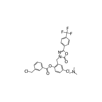 CN(C)C.O=C(Oc1ccc(Cl)cc1Cn1nc(-c2ccc(C(F)(F)F)cc2)oc1=O)c1cccc(CCl)c1